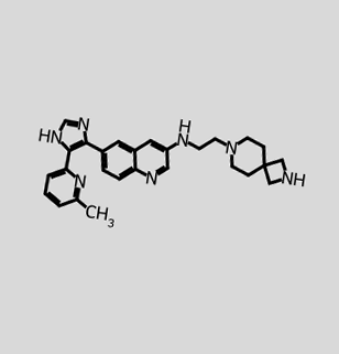 Cc1cccc(-c2[nH]cnc2-c2ccc3ncc(NCCN4CCC5(CC4)CNC5)cc3c2)n1